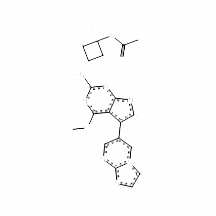 COc1nc(N[C@H]2C[C@](C)(NC(C)=O)C2)nc2[nH]cc(-c3cnc4nccn4c3)c12